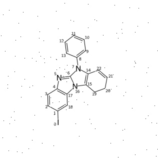 Ic1ccc2nc3n(-c4ccccc4)c4c(n3c2c1)CCC=C4